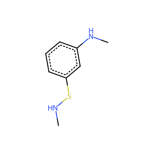 CNSc1cccc(NC)c1